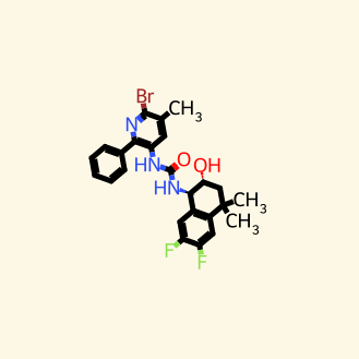 Cc1cc(NC(=O)N[C@@H]2c3cc(F)c(F)cc3C(C)(C)C[C@H]2O)c(-c2ccccc2)nc1Br